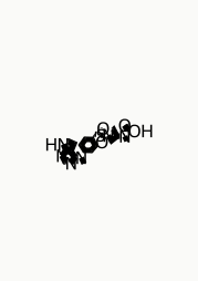 CN(C(=O)O)C1CN(S(=O)(=O)C[C@H]2CC[C@H](N(C)c3ncnc4[nH]ccc34)CC2)C1